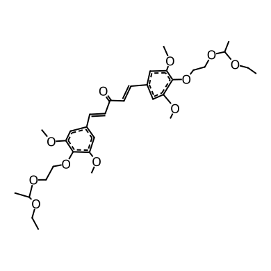 CCOC(C)OCCOc1c(OC)cc(C=CC(=O)C=Cc2cc(OC)c(OCCOC(C)OCC)c(OC)c2)cc1OC